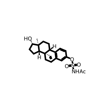 C=C[C@@]12CCc3cc(OS(=O)(=O)NC(C)=O)ccc3[C@H]1CC[C@@]1(C)[C@H]2CC[C@@H]1O